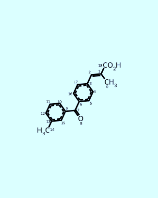 CC(=Cc1ccc(C(=O)c2cccc(C)c2)cc1)C(=O)O